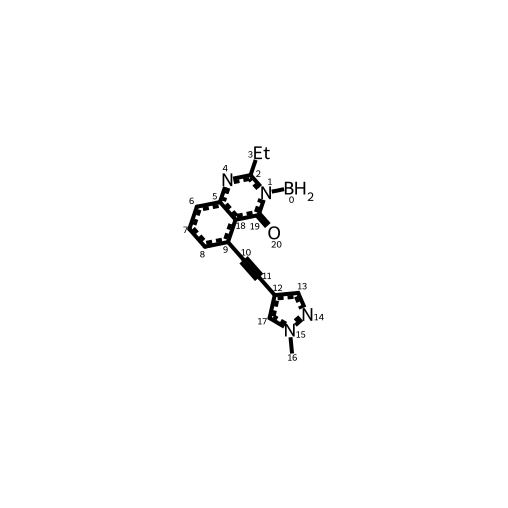 Bn1c(CC)nc2cccc(C#Cc3cnn(C)c3)c2c1=O